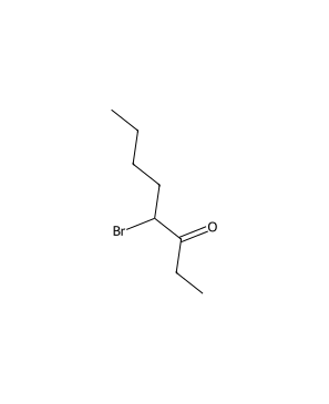 CCCCC(Br)C(=O)CC